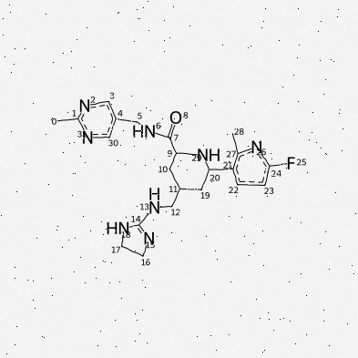 Cc1ncc(CNC(=O)C2CC(CNC3=NCCN3)CC(c3ccc(F)nc3C)N2)cn1